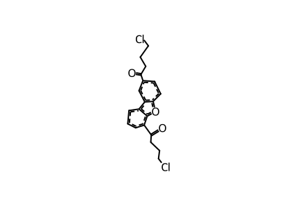 O=C(CCCCl)c1ccc2oc3c(C(=O)CCCCl)cccc3c2c1